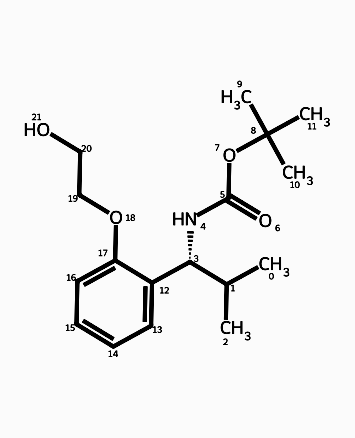 CC(C)[C@@H](NC(=O)OC(C)(C)C)c1ccccc1OCCO